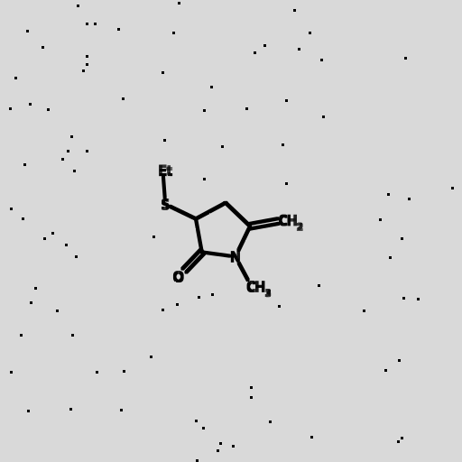 C=C1CC(SCC)C(=O)N1C